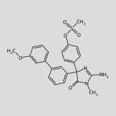 COc1cccc(-c2cccc(C3(c4ccc(OS(C)(=O)=O)cc4)N=C(N)N(C)C3=O)c2)c1